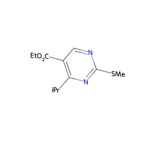 CCOC(=O)c1cnc(SC)nc1C(C)C